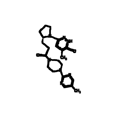 Cc1cnc(N2CCN(C(=O)CC[C@@H]3CCCN3c3cc(C)c(=O)[nH]n3)CC2)nc1